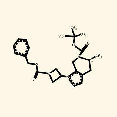 C[C@H]1Cc2cnn(C3CN(C(=O)OCc4ccccc4)C3)c2CN1C(=O)OC(C)(C)C